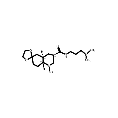 CCCN1C[C@H](C(=O)NCCCN(C)C)C[C@@H]2CC3(CC[C@H]21)OCCO3